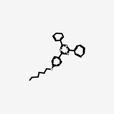 CCCCCCOc1ccc(-c2nc(C3=CC=C=CC=C3)nc(C3=CCCC=C3)n2)cc1